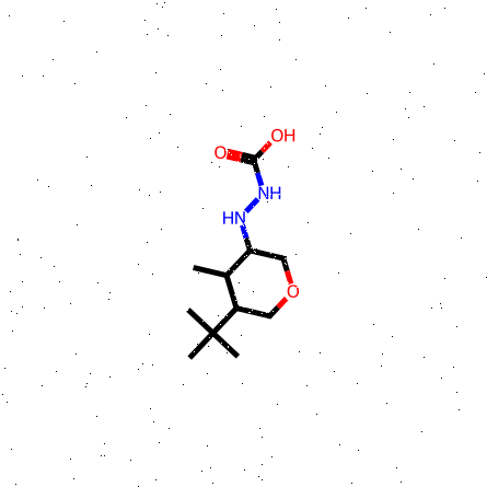 CC1C(NNC(=O)O)COCC1C(C)(C)C